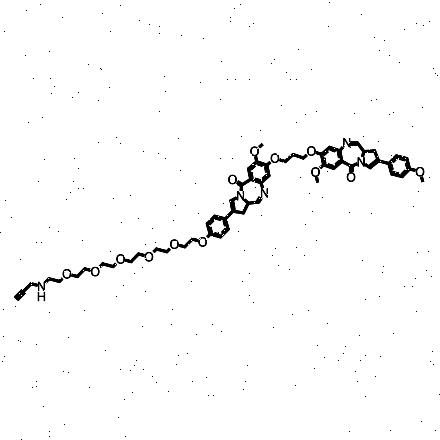 C#CCNCCOCCOCCOCCOCCOCCOc1ccc(C2=CN3C(=O)c4cc(OC)c(OCCCOc5cc6c(cc5OC)C(=O)N5C=C(c7ccc(OC)cc7)CC5C=N6)cc4N=CC3C2)cc1